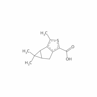 Cc1sc(C(=O)O)c2c1C1C(C2)C1(C)C